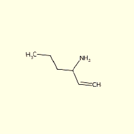 [CH]=CC(N)CCC